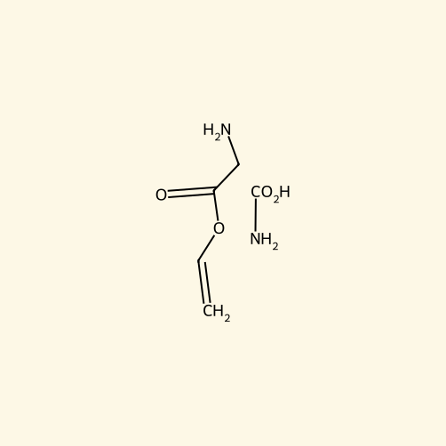 C=COC(=O)CN.NC(=O)O